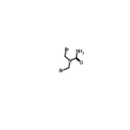 NC(=O)N(CBr)CBr